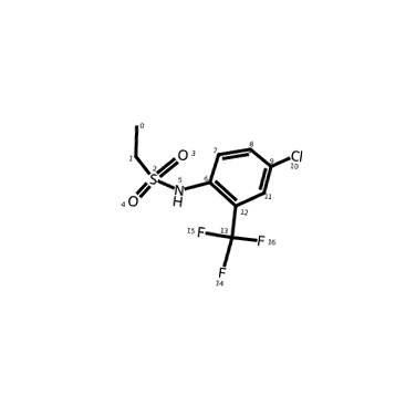 CCS(=O)(=O)Nc1c[c]c(Cl)cc1C(F)(F)F